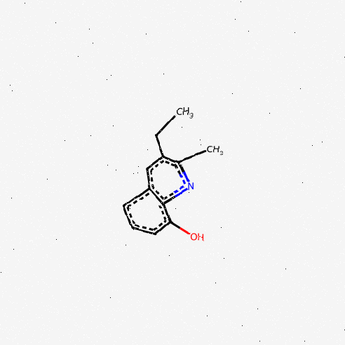 CCc1cc2cccc(O)c2nc1C